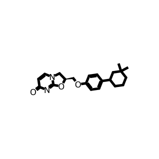 CC1(C)CCCC(c2ccc(OC[C@@H]3Cn4ccc(=O)nc4O3)cc2)C1